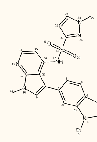 CCN1CCc2ccc(-c3cn(C)c4nccc(NS(=O)(=O)c5ccn(C)n5)c34)cc21